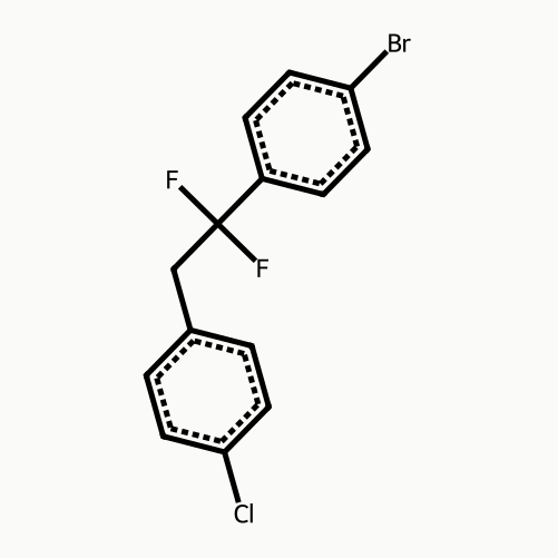 FC(F)(Cc1ccc(Cl)cc1)c1ccc(Br)cc1